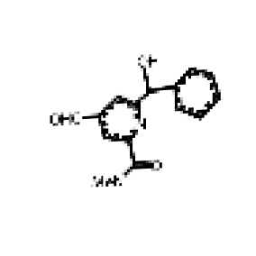 CNC(=O)c1cc(C=O)cc(C(O)c2ccccc2)n1